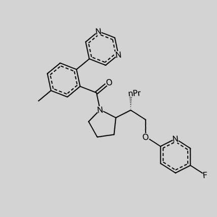 CCC[C@H](COc1ccc(F)cn1)C1CCCN1C(=O)c1cc(C)ccc1-c1cncnc1